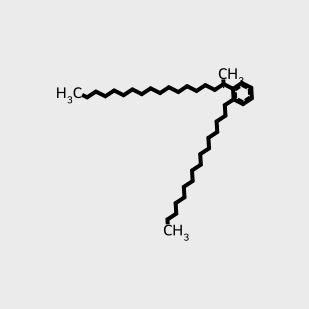 CCCCCCCCCCCCCCCC[C](C)c1ccccc1CCCCCCCCCCCCCCCC